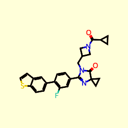 O=C(C1CC1)N1CC(CN2C(=O)C3(CC3)N=C2c2ccc(-c3ccc4sccc4c3)c(F)c2)C1